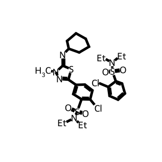 CCN(CC)S(=O)(=O)c1cc(-c2nn(C)c(=NC3CCCCC3)s2)ccc1Cl.CCN(CC)S(=O)(=O)c1ccccc1Cl